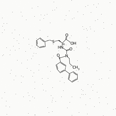 CCCN(C(=O)N[C@@H](CSCc1ccccc1)C(=O)O)C(=O)c1cccc(-c2ccccc2)c1